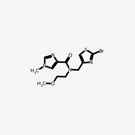 COCCN(Cc1csc(Br)n1)C(=O)c1cn(C)cn1